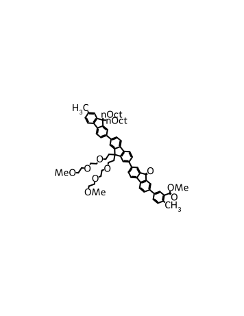 CCCCCCCCC1(CCCCCCCC)c2cc(C)ccc2-c2ccc(-c3ccc4c(c3)C(CCOCCOCCOC)(CCOCCOCCOC)c3cc(-c5ccc6c(c5)C(=O)c5cc(-c7ccc(C)c(C(=O)OC)c7)ccc5-6)ccc3-4)cc21